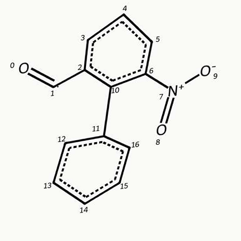 O=[C]c1cccc([N+](=O)[O-])c1-c1ccccc1